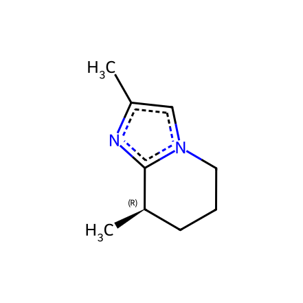 Cc1cn2c(n1)[C@H](C)CCC2